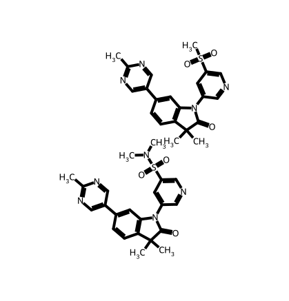 Cc1ncc(-c2ccc3c(c2)N(c2cncc(S(=O)(=O)N(C)C)c2)C(=O)C3(C)C)cn1.Cc1ncc(-c2ccc3c(c2)N(c2cncc(S(C)(=O)=O)c2)C(=O)C3(C)C)cn1